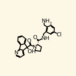 NCc1ccc(Cl)cc1CNC(=O)[C@@H]1CCCN1C(=O)C1(O)c2ccccc2-c2ncccc21